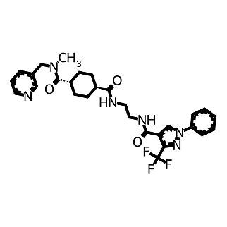 CN(Cc1cccnc1)C(=O)[C@H]1CC[C@H](C(=O)NCCNC(=O)c2cn(-c3ccccc3)nc2C(F)(F)F)CC1